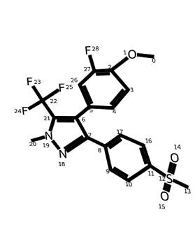 COc1ccc(-c2c(-c3ccc(S(C)(=O)=O)cc3)nn(C)c2C(F)(F)F)cc1F